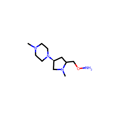 CN1CCN([C@H]2CC(CON)N(C)C2)CC1